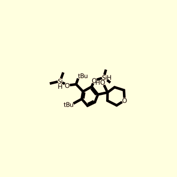 C[SiH](C)Oc1c(C2(O)CCOCC2)ccc(C(C)(C)C)c1C(O[SiH](C)C)C(C)(C)C